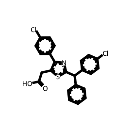 O=C(O)Cc1sc(C(c2ccccc2)c2ccc(Cl)cc2)nc1-c1ccc(Cl)cc1